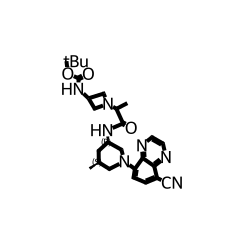 CC(C(=O)N[C@@H]1C[C@H](C)CN(c2ccc(C#N)c3nccnc23)C1)N1CC(NC(=O)OC(C)(C)C)C1